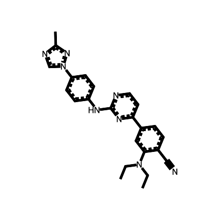 CCN(CC)c1cc(-c2ccnc(Nc3ccc(-n4cnc(C)n4)cc3)n2)ccc1C#N